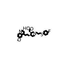 COc1ccc2nccc(CCC[C@@H]3CCN(CCCSc4ccc(F)cc4)C[C@@H]3CC(=O)O)c2c1